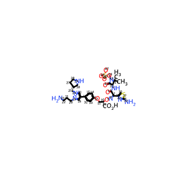 CC1(C)C(NC(=O)/C(=N\O[C@@H](COc2ccc(-c3cn(CCCN)[n+](C[C@@H]4CCNC4)c3)cc2)C(=O)O)c2csc(N)n2)C(=O)N1OS(=O)(=O)[O-]